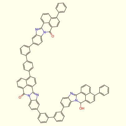 O=c1c2ccc(-c3ccccc3)c3cccc(c32)c2nc3cc(-c4cccc(-c5ccc(-c6ccc7c8c6cccc8c(=O)n6c8ccc(-c9cccc(-c%10cccc(-c%11ccc%12nc%13n(c%12c%11)C(O)c%11ccc(-c%12ccccc%12)c%12cccc-%13c%11%12)c%10)c9)cc8nc76)cc5)c4)ccc3n12